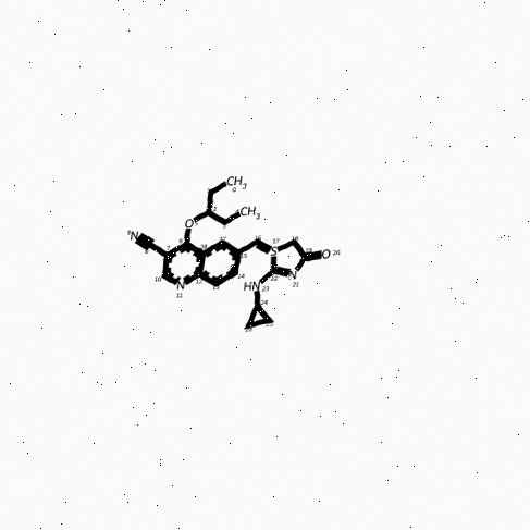 CCC(CC)Oc1c(C#N)cnc2ccc(/C=S3/CC(=O)N=C3NC3CC3)cc12